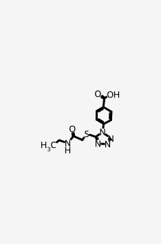 CCNC(=O)CSc1nnnn1-c1ccc(C(=O)O)cc1